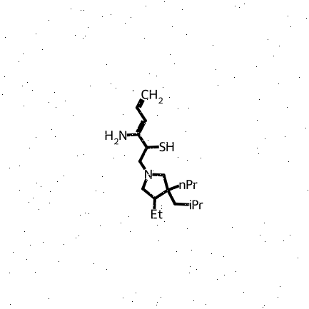 C=C/C=C(\N)C(S)CN1CC(CC)C(CCC)(CC(C)C)C1